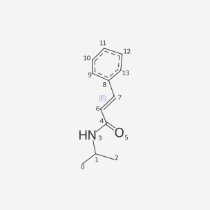 CC(C)NC(=O)/C=C/c1ccccc1